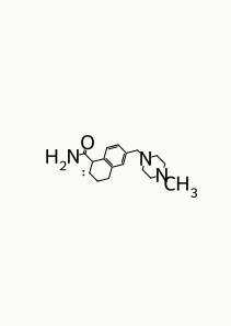 CN1CCN(Cc2ccc3c(c2)CC[C]C3C(N)=O)CC1